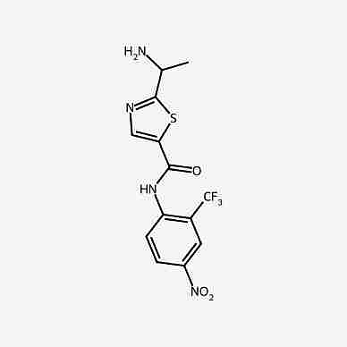 CC(N)c1ncc(C(=O)Nc2ccc([N+](=O)[O-])cc2C(F)(F)F)s1